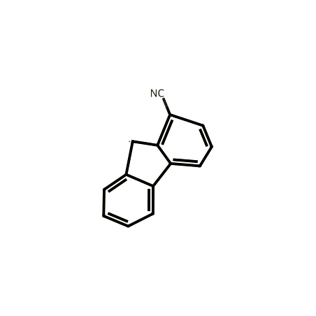 N#Cc1cccc2c1[CH]c1ccccc1-2